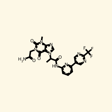 CC(C(=O)Nc1cccc(-c2cnc(C(F)(F)F)nc2)n1)n1cnc2c1c(=O)n(CC(N)=O)c(=O)n2C